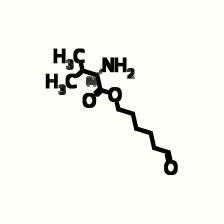 CC(C)[C@H](N)C(=O)OCCCCCC=O